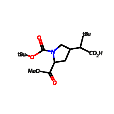 COC(=O)C1CC(C(C(=O)O)C(C)(C)C)CN1C(=O)OC(C)(C)C